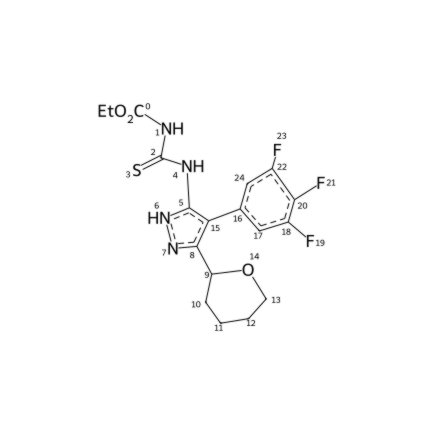 CCOC(=O)NC(=S)Nc1[nH]nc(C2CCCCO2)c1-c1cc(F)c(F)c(F)c1